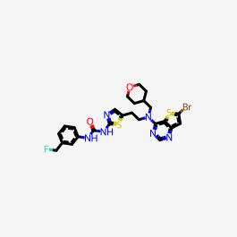 O=C(Nc1cccc(CF)c1)Nc1ncc(CCN(CC2CCOCC2)c2ncnc3cc(Br)sc23)s1